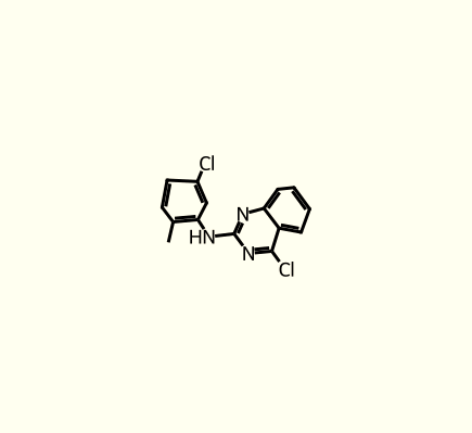 Cc1ccc(Cl)cc1Nc1nc(Cl)c2ccccc2n1